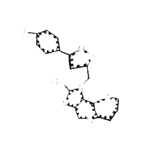 CCCc1nc2cnc3cccnc3c2n1Cc1cc(-c2ccc(F)cc2)no1